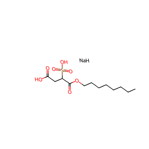 CCCCCCCCOC(=O)C(CC(=O)O)S(=O)(=O)O.[NaH]